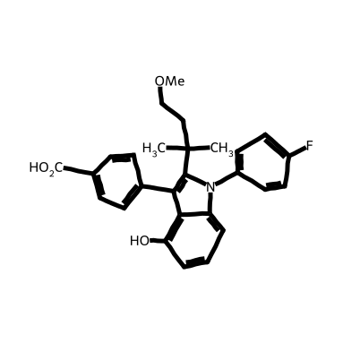 COCCC(C)(C)c1c(-c2ccc(C(=O)O)cc2)c2c(O)cccc2n1-c1ccc(F)cc1